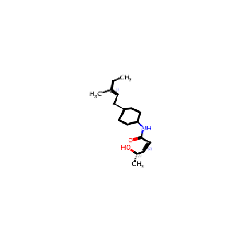 CC/C(C)=C/C[C@H]1CC[C@@H](NC(=O)/C=C\[C@H](C)O)CC1